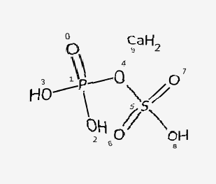 O=P(O)(O)OS(=O)(=O)O.[CaH2]